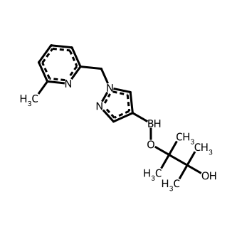 Cc1cccc(Cn2cc(BOC(C)(C)C(C)(C)O)cn2)n1